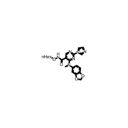 CCCCCCONC(=O)c1cnc(-n2ccnc2)nc1N(C)c1ccc2c(c1)OCO2